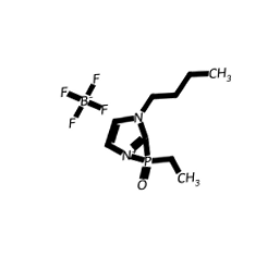 CCCCn1cc[n+]2c1P2(=O)CC.F[B-](F)(F)F